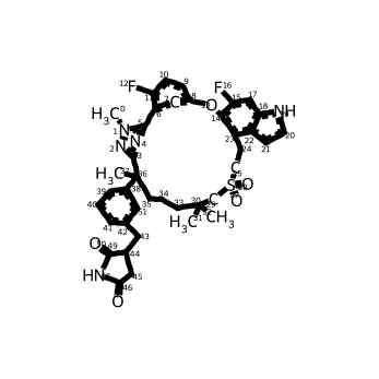 Cn1nc2nc1-c1cc(ccc1F)Oc1c(F)cc3[nH]ccc3c1CCS(=O)(=O)CC(C)(C)CCCC2(C)c1cccc(CC2CC(=O)NC2=O)c1